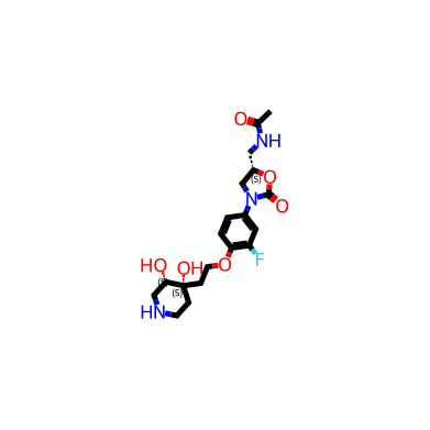 CC(=O)NC[C@H]1CN(c2ccc(OCC[C@@]3(O)CCNC[C@@H]3O)c(F)c2)C(=O)O1